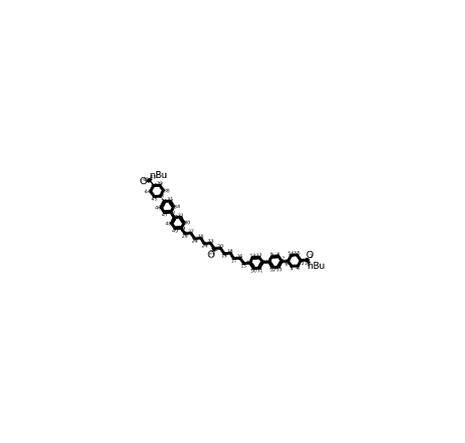 CCCCC(=O)C1CCC(c2ccc(-c3ccc(CCCCCCC(=O)CCCCCCc4ccc(-c5ccc([C@H]6CC[C@H](C(=O)CCCC)CC6)cc5)cc4)cc3)cc2)CC1